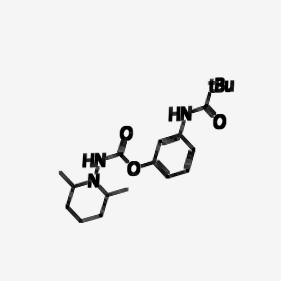 CC1CCCC(C)N1NC(=O)Oc1cccc(NC(=O)C(C)(C)C)c1